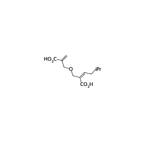 C=C(COC/C(=C/CC(C)C)C(=O)O)C(=O)O